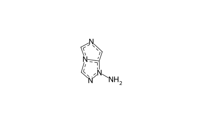 Nn1ncn2cncc12